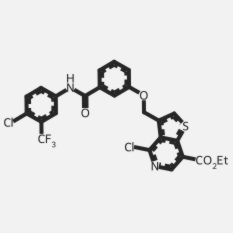 CCOC(=O)c1cnc(Cl)c2c(COc3cccc(C(=O)Nc4ccc(Cl)c(C(F)(F)F)c4)c3)csc12